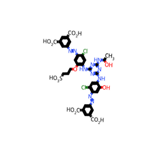 CC(O)Nc1nc(Nc2cc(Cl)c(N=Nc3cc(C(=O)O)cc(C(=O)O)c3)cc2O)nc(Nc2cc(Cl)c(N=Nc3cc(C(=O)O)cc(C(=O)O)c3)cc2OCCCS(=O)(=O)O)n1